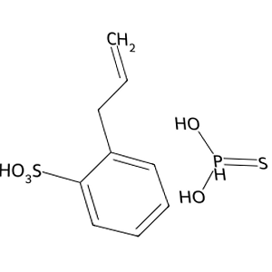 C=CCc1ccccc1S(=O)(=O)O.O[PH](O)=S